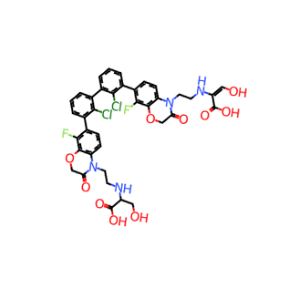 O=C(O)/C(=C\O)NCCN1C(=O)COc2c1ccc(-c1cccc(-c3cccc(-c4ccc5c(c4F)OCC(=O)N5CCNC(CO)C(=O)O)c3Cl)c1Cl)c2F